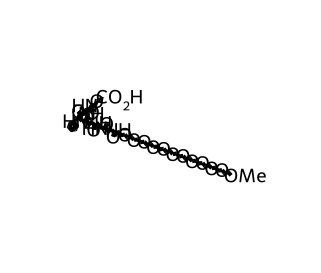 COCCOCCOCCOCCOCCOCCOCCOCCOCCOCCOCCOCCC(=O)NCC(=O)NCC(=O)NCC(=O)NC(Cc1ccccc1)C(=O)NCC(=O)NCOCC(=O)O